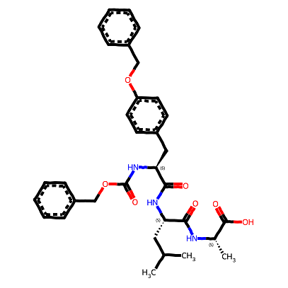 CC(C)C[C@H](NC(=O)[C@H](Cc1ccc(OCc2ccccc2)cc1)NC(=O)OCc1ccccc1)C(=O)N[C@@H](C)C(=O)O